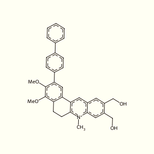 COc1c(-c2ccc(-c3ccccc3)cc2)cc2c(c1OC)CCc1c-2cc2cc(CO)c(CO)cc2[n+]1C